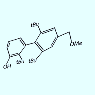 COCc1cc(C(C)(C)C)c(-c2cccc(O)c2C(C)(C)C)c(C(C)(C)C)c1